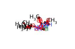 COc1ccc(C(NCCCC[C@H](NC(=O)[C@H](Cc2ccc(Cl)c(Cl)c2)NC(=O)CCC(=O)NCCCO[C@H]2CC[C@@]3(C)C(=CC[C@H]4[C@@H]5CC[C@H]([C@H](C)CCCC(C)C)[C@@]5(C)CC[C@@H]43)C2)C(=O)Nc2ccc(COC(=O)Oc3ccc(C)cc3)cc2)(c2ccccc2)c2ccccc2)cc1